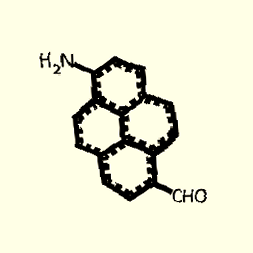 Nc1ccc2ccc3c(C=O)ccc4ccc1c2c43